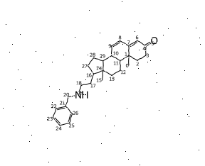 CC12CCC(=O)C=C1C=CC1C2CCC2(C)C(CCNCc3ccccc3)CCC12